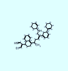 CC/C=C(\C=N)C1CCC(C(C)C/C=C(\CNC2C=CCCC2)C2=CC=CC(C3=CCCCC3)C2)=C2C=CC=CC21